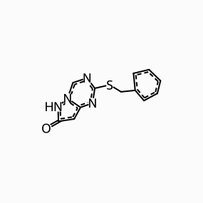 O=c1cc2nc(SCc3ccccc3)ncn2[nH]1